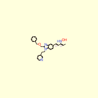 C/C=C(/C=C/c1ccc2c(c1)nc(COCc1ccccc1)n2CCc1cccnc1)NO